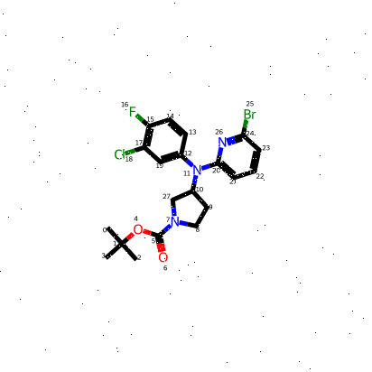 CC(C)(C)OC(=O)N1CCC(N(c2ccc(F)c(Cl)c2)c2cccc(Br)n2)C1